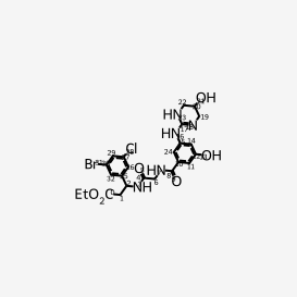 CCOC(=O)CC(NC(=O)CNC(=O)c1cc(O)cc(NC2=NCC(O)CN2)c1)c1cc(Cl)cc(Br)c1